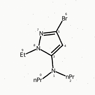 CCCN(CCC)c1cc(Br)nn1CC